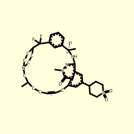 CC1CC/C=C\Cc2cc(C3CCS(=O)(=O)CC3)cc3c(nn(C)c(=O)c23)N[C@H](C)c2cccc(c2)C(F)(F)C2CCN(CC2)C1